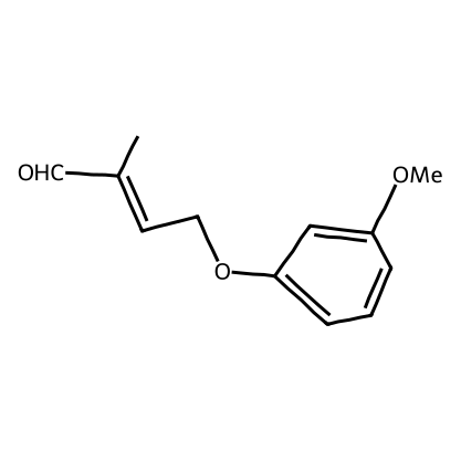 COc1cccc(OCC=C(C)C=O)c1